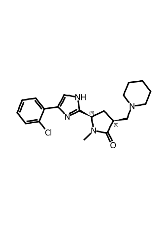 CN1C(=O)[C@H](CN2CCCCC2)C[C@@H]1c1nc(-c2ccccc2Cl)c[nH]1